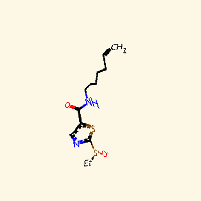 C=CCCCCNC(=O)c1cnc([S+]([O-])CC)s1